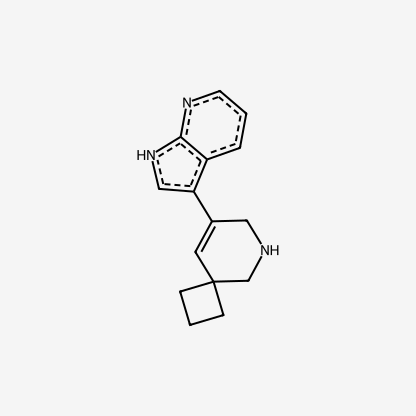 C1=C(c2c[nH]c3ncccc23)CNCC12CCC2